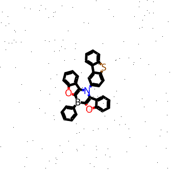 c1ccc(B2c3oc4ccccc4c3N(c3ccc4sc5ccccc5c4c3)c3c2oc2ccccc32)cc1